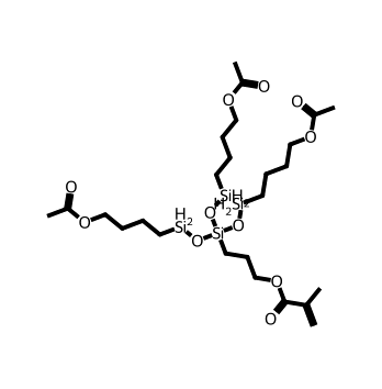 C=C(C)C(=O)OCCC[Si](O[SiH2]CCCCOC(C)=O)(O[SiH2]CCCCOC(C)=O)O[SiH2]CCCCOC(C)=O